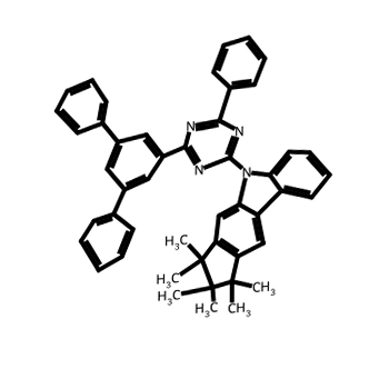 CC1(C)c2cc3c4ccccc4n(-c4nc(-c5ccccc5)nc(-c5cc(-c6ccccc6)cc(-c6ccccc6)c5)n4)c3cc2C(C)(C)C1(C)C